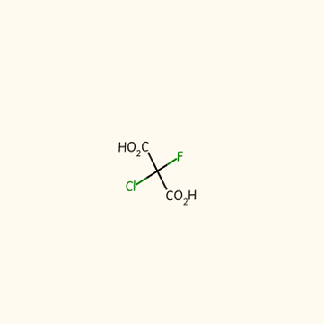 O=C(O)C(F)(Cl)C(=O)O